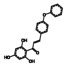 O=C(/C=C/c1ccc(Oc2ccccc2)cc1)c1c(O)cc(O)cc1O